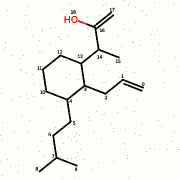 C=CCC1C(CCC(C)C)CCCC1C(C)C(=C)O